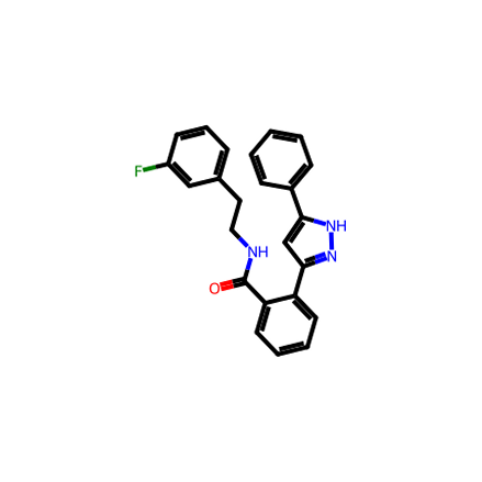 O=C(NCCc1cccc(F)c1)c1ccccc1-c1cc(-c2ccccc2)[nH]n1